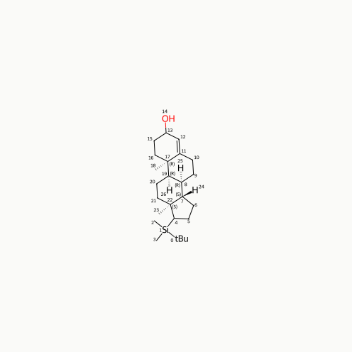 CC(C)(C)[Si](C)(C)C1CC[C@H]2[C@@H]3CCC4=CC(O)CC[C@]4(C)[C@@H]3CC[C@]12C